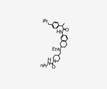 CCCNC(=O)N1CCC(CN(CC)C2CCc3ccc(NC(=O)C(C)c4ccc(CC(C)C)cc4)cc3C2)CC1